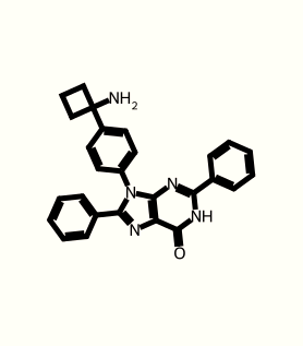 NC1(c2ccc(-n3c(-c4ccccc4)nc4c(=O)[nH]c(-c5ccccc5)nc43)cc2)CCC1